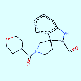 O=CC1Nc2ccccc2C12CCN(C(=O)C1CCOCC1)C2